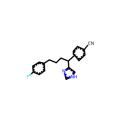 N#Cc1ccc(C(CCCc2ccc(F)cc2)c2c[nH]cn2)cc1